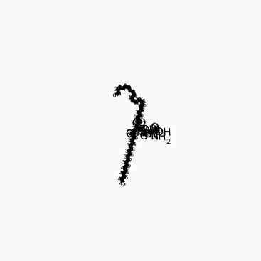 CC/C=C\C/C=C\C/C=C\C/C=C\C/C=C\CCCCCC(=O)O[C@H](COC(=O)CCCCCCCCCCCCCCCCC)COP(=O)(O)OC[C@H](N)C(=O)O